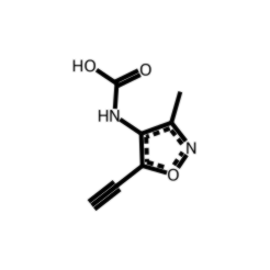 C#Cc1onc(C)c1NC(=O)O